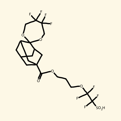 O=C(OCCCOC(F)(F)C(F)(F)S(=O)(=O)O)C12CC3CC(C1)C1(OCC(F)(F)C(F)(F)CO1)C(C3)C2